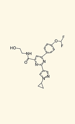 O=C(NCCO)c1cc(-c2ccc(OC(F)F)cc2)nc(-c2cnn(C3CC3)c2)n1